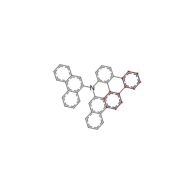 c1ccc(-c2ccccc2-c2c(-c3ccccc3)cccc2N(c2cc3ccccc3c3ccccc23)c2cc3ccccc3c3ccccc23)cc1